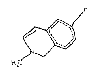 CN1C=Cc2cc(F)ccc2C1